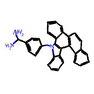 NC(N)c1ccc(-n2c3ccccc3c3c4c5ccccc5ccc4c4ccccc4c32)cc1